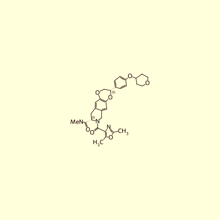 CNC(=O)[C@@H]1Cc2cc3c(cc2CN1C(=O)c1nc(C)oc1C)O[C@@H](c1ccc(OC2CCOCC2)cc1)CO3